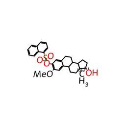 COc1cc2c(cc1OS(=O)(=O)c1cccc3ccccc13)CCC1C2CC[C@@]2(C)C1CC[C@@H]2O